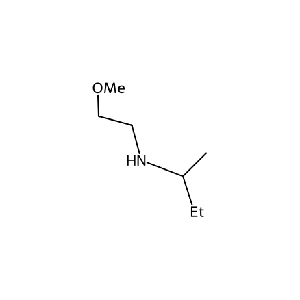 CCC(C)NCCOC